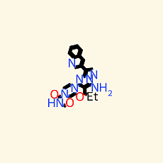 CCC(=O)c1c(N2CCN3C(=O)NCOC3C2)nc2c(-c3cnc4ccccc4c3)cnn2c1N